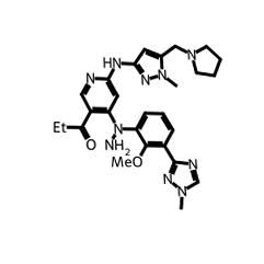 CCC(=O)c1cnc(Nc2cc(CN3CCCC3)n(C)n2)cc1N(N)c1cccc(-c2ncn(C)n2)c1OC